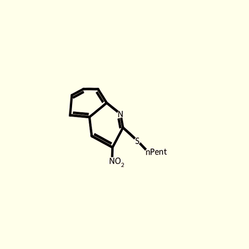 CCCCCSc1nc2ccccc2cc1[N+](=O)[O-]